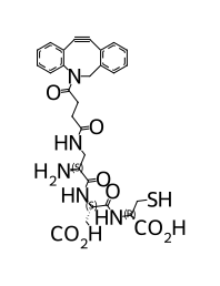 N[C@@H](CNC(=O)CCC(=O)N1Cc2ccccc2C#Cc2ccccc21)C(=O)N[C@@H](CC(=O)O)C(=O)N[C@@H](CS)C(=O)O